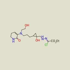 CCOC(=O)/C(Cl)=N/NCC1(O)CC1CCCN(CCO)C1=CCCNC1=O